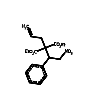 C=CCC(C(=O)OCC)(C(=O)OCC)C(C[N+](=O)[O-])c1ccccc1